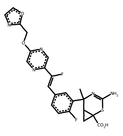 CC1(c2cc(C=C(F)c3cnc(OCc4ncco4)cn3)ccc2F)N=C(N)SC2(C(=O)O)CC21